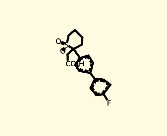 O=C(O)CC1(c2ccc(-c3ccc(F)cc3)cc2)CCCCS1(=O)=O